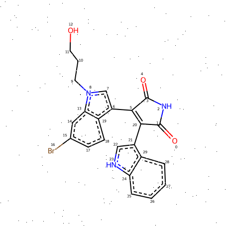 O=C1NC(=O)C(c2cn(CCCO)c3cc(Br)ccc23)=C1c1c[nH]c2ccccc12